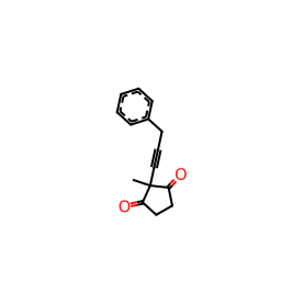 CC1(C#CCc2ccccc2)C(=O)CCC1=O